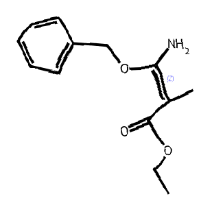 CCOC(=O)/C(C)=C(/N)OCc1ccccc1